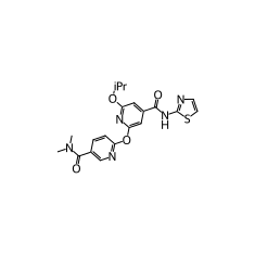 CC(C)Oc1cc(C(=O)Nc2nccs2)cc(Oc2ccc(C(=O)N(C)C)cn2)n1